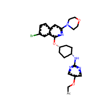 CC(=O)COc1cnc(N[C@H]2CC[C@@H](Oc3nc(N4CCOCC4)cc4ccc(Br)cc34)CC2)nc1